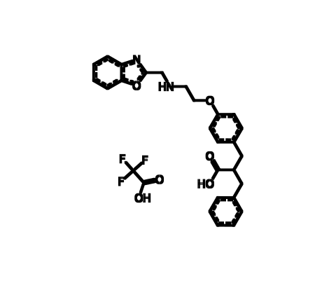 O=C(O)C(Cc1ccccc1)Cc1ccc(OCCNCc2nc3ccccc3o2)cc1.O=C(O)C(F)(F)F